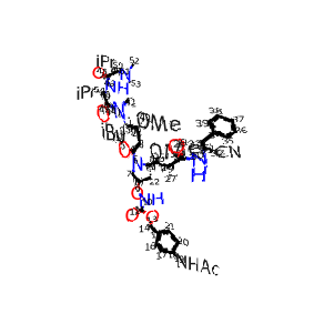 CC[C@H](C)[C@@H]([C@@H](CC(=O)N1C[C@H](ONC(=O)OCc2ccc(NC(C)=O)cc2)C[C@H]1[C@H](OC)[C@@H](C)C(=O)N[C@H](C#N)Cc1ccccc1)OC)N(C)C(=O)[C@@H](NC(=O)[C@H](C(C)C)N(C)C)C(C)C